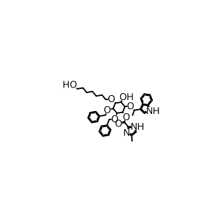 Cc1c[nH]c(C(=O)OC2C(OC(C)c3c[nH]c4ccccc34)C(O)C(OCCCCCCCO)C(OCc3ccccc3)C2OCc2ccccc2)n1